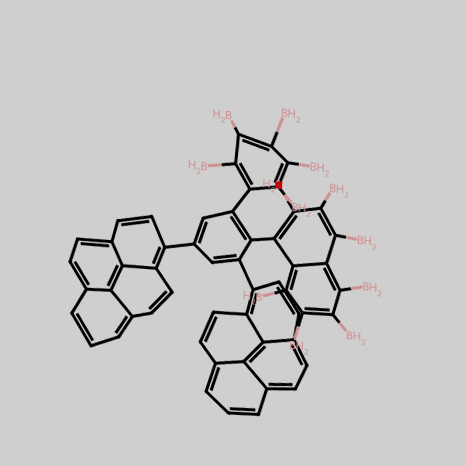 Bc1c(B)c(B)c(-c2cc(-c3ccc4ccc5cccc6ccc3c4c56)cc(-c3ccc4ccc5cccc6ccc3c4c56)c2-c2c(B)c(B)c(B)c3c(B)c(B)c(B)c(B)c23)c(B)c1B